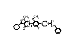 COc1cc(N2CCN(C(=O)OCc3ccccc3)CC2)c(F)cc1-c1nc2c(c(C3CCCCC3)nn2C)c(=O)[nH]1